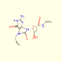 C#CCn1c(=O)n([C@@H]2O[C@H](C(=O)NC)C[C@H]2O)c2nc(N)[nH]c(=O)c21